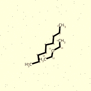 CCCCCCCCC.CCOCC